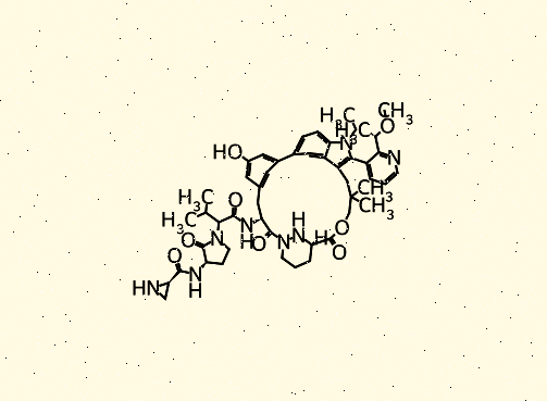 CCn1c(-c2cccnc2[C@H](C)OC)c2c3cc(ccc31)-c1cc(O)cc(c1)C[C@H](NC(=O)C(C(C)C)N1CC[C@@H](NC(=O)[C@H]3CN3)C1=O)C(=O)N1CCC[C@H](N1)C(=O)OCC(C)(C)C2